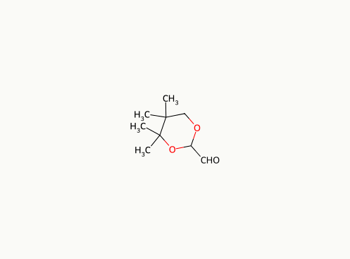 CC1(C)COC(C=O)OC1(C)C